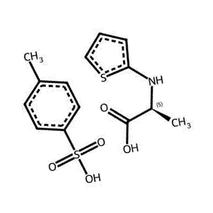 C[C@H](Nc1cccs1)C(=O)O.Cc1ccc(S(=O)(=O)O)cc1